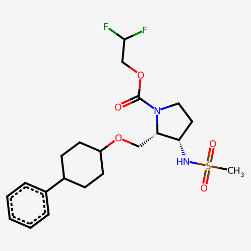 CS(=O)(=O)N[C@H]1CCN(C(=O)OCC(F)F)[C@H]1COC1CCC(c2ccccc2)CC1